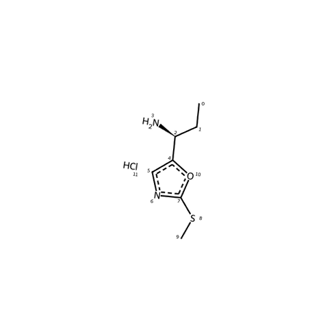 CC[C@H](N)c1cnc(SC)o1.Cl